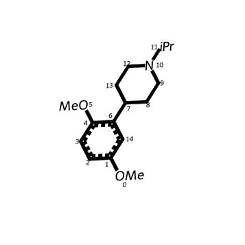 COc1ccc(OC)c(C2CCN(C(C)C)CC2)c1